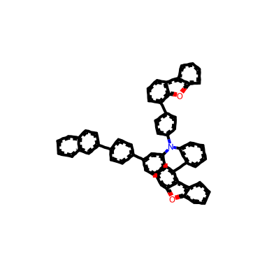 c1cc(-c2ccc(-c3ccc4ccccc4c3)cc2)cc(N(c2ccc(-c3cccc4c3oc3ccccc34)cc2)c2ccccc2-c2cccc3oc4ccccc4c23)c1